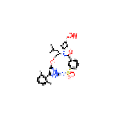 Cc1cccc(C)c1-c1cc2nc(n1)NS(=O)(=O)c1cccc(c1)C(=O)N([C@H]1C[C@@H](CO)C1)[C@H](CC(C)C)CO2